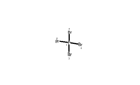 Br[P](Br)(Br)Br